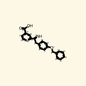 N=C(Cc1ccc(OCc2ccccc2)cc1)c1cc(C(=O)O)ccn1